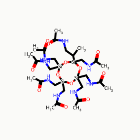 CC(=O)NCC(C)[Si]1(CNC(C)=O)O[Si](CNC(C)=O)(CNC(C)=O)O[Si](CNC(C)=O)(CNC(C)=O)O[Si](CNC(C)=O)(CNC(C)=O)O1